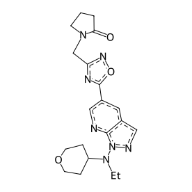 CCN(C1CCOCC1)n1ncc2cc(-c3nc(CN4CCCC4=O)no3)cnc21